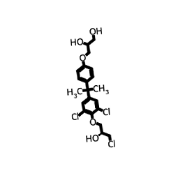 CC(C)(c1ccc(OCC(O)CO)cc1)c1cc(Cl)c(OC[C@H](O)CCl)c(Cl)c1